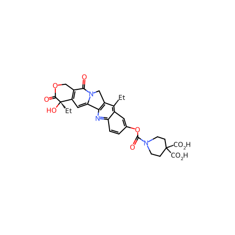 CCc1c2c(nc3ccc(OC(=O)N4CCC(C(=O)O)(C(=O)O)CC4)cc13)-c1cc3c(c(=O)n1C2)COC(=O)[C@]3(O)CC